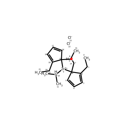 CCC1=CC=C[C]1(CC)[Zr+2]([SiH](C)C)[C]1(CC)C=CC=C1CC.[Cl-].[Cl-]